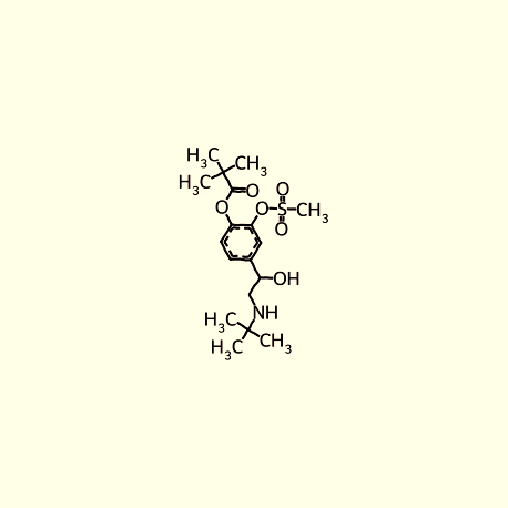 CC(C)(C)NCC(O)c1ccc(OC(=O)C(C)(C)C)c(OS(C)(=O)=O)c1